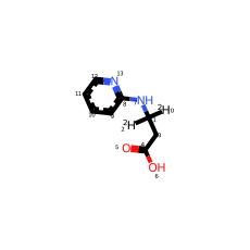 [2H]C([2H])(CC(=O)O)Nc1ccccn1